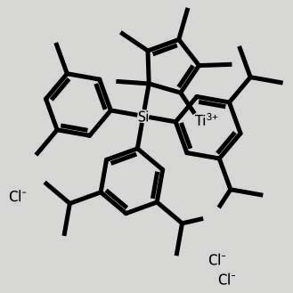 CC1=C(C)C(C)([Si](c2cc(C)cc(C)c2)(c2cc(C(C)C)cc(C(C)C)c2)c2cc(C(C)C)cc(C(C)C)c2)[C]([Ti+3])=C1C.[Cl-].[Cl-].[Cl-]